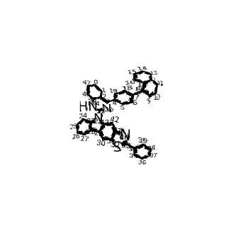 C1=CC2=C(c3ccc(-c4cccc5ccccc45)cc3)N=C(n3c4ccccc4c4cc5sc(-c6ccccc6)nc5cc43)NC2C=C1